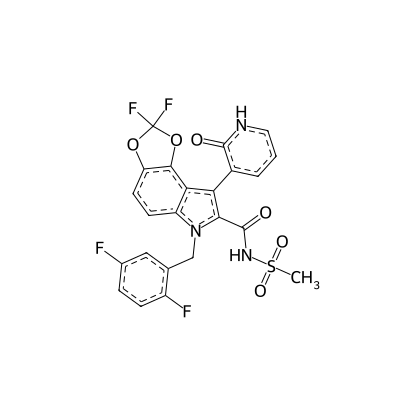 CS(=O)(=O)NC(=O)c1c(-c2ccc[nH]c2=O)c2c3c(ccc2n1Cc1cc(F)ccc1F)OC(F)(F)O3